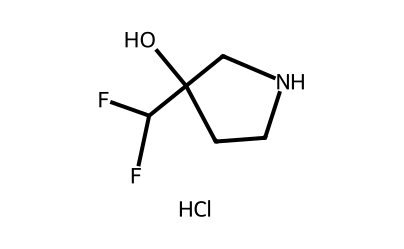 Cl.OC1(C(F)F)CCNC1